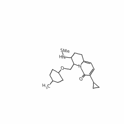 CSNC1CCc2ccc(C3CC3)c(=O)n2C1COC1CCC(C)CC1